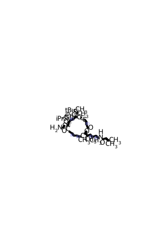 CC(C)=CC(=O)N/C=C/C(C)=C/[C@@H](C)[C@H]1C/C(C)=C/C=C/CC[C@@H](OC(N)=O)[C@H](O[Si](C(C)C)(C(C)C)C(C)C)/C=C/[C@H](O[Si](C)(C)C(C)(C)C)CCC/C=C/C(=O)O1